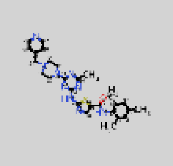 Cc1cc(C)c(NC(=O)c2cnc(Nc3nc(C)nc(N4CCN(Cc5ccncc5)CC4)n3)s2)c(C)c1